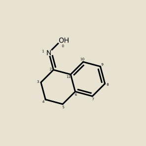 O/N=C1/CCCc2ccccc21